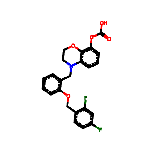 O=C(O)Oc1cccc2c1OCCN2Cc1ccccc1OCc1ccc(F)cc1F